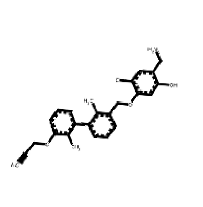 C#CCOc1cccc(-c2cccc(COc3cc(O)c(CN)cc3Cl)c2C)c1C